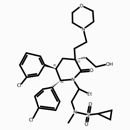 CCC(CN(C)S(=O)(=O)C1CC1)N1C(=O)[C@](CCO)(CCN2CCOCC2)C[C@H](c2cccc(Cl)c2)[C@H]1c1ccc(Cl)cc1